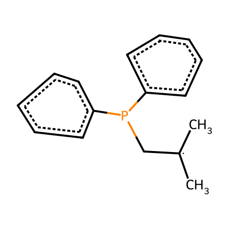 C[C](C)CP(c1ccccc1)c1ccccc1